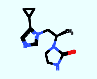 C[C@H](Cn1cncc1C1CC1)N1CCNC1=O